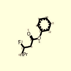 CCCC(F)CC(=O)Oc1ccccc1